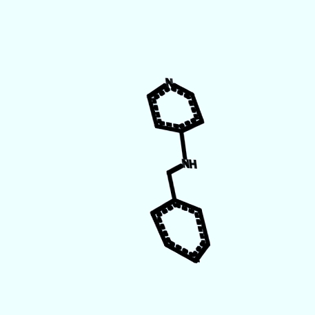 [c]1ccc(CNc2ccncc2)cc1